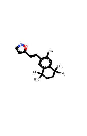 CCCCc1cc2c(cc1C=Cc1ccno1)C(C)(C)CCC2(C)C